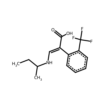 CCC(C)N/C=C(/C(=O)O)c1ccccc1C(F)(F)F